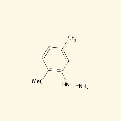 COc1ccc(C(F)(F)F)cc1NN